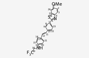 COc1ccc2nc(-c3ccc(C=Cc4ccc(NCC(F)(F)F)cc4)cc3)sc2c1